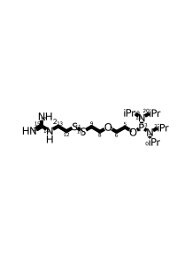 CC(C)N(C(C)C)P(OCCOCCSSCCNC(=N)N)N(C(C)C)C(C)C